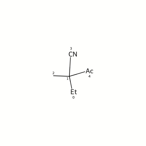 CCC(C)(C#N)C(C)=O